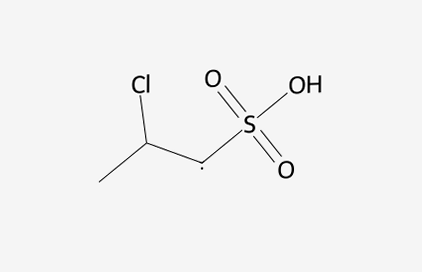 CC(Cl)[CH]S(=O)(=O)O